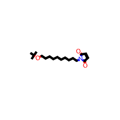 CC(C)(C)OCCCCCCCCCCN1C(=O)C=CC1=O